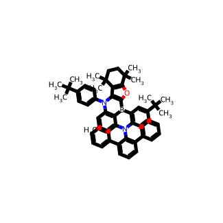 Cc1cc2c3c(c1)N(c1c(-c4ccccc4)cccc1-c1ccccc1)c1ccc(C(C)(C)C)cc1B3c1oc3c(c1N2c1ccc(C(C)(C)C)cc1)C(C)(C)CCC3(C)C